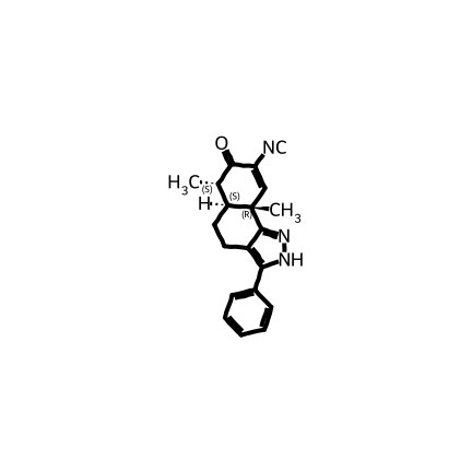 [C-]#[N+]C1=C[C@]2(C)c3n[nH]c(-c4ccccc4)c3CC[C@H]2[C@H](C)C1=O